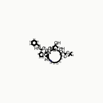 CC(C)(C)OC(=O)N[C@H]1CCCCC/C=C\[C@@H]2C[C@@]2(C(=O)N2CCC[C@@H]2C(=O)NCc2ccccc2)NC(=O)[C@@H]2C[C@@H](O)CN2C1=O